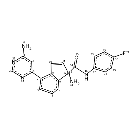 Nc1cc(-c2cccc3c2C=C[N+]3(N)C(=O)Nc2ccc(F)cc2)ncn1